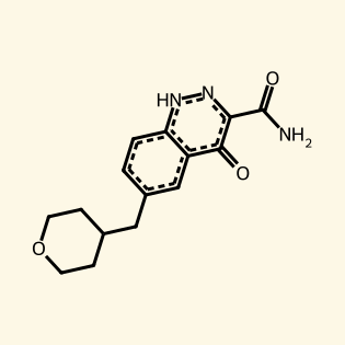 NC(=O)c1n[nH]c2ccc(CC3CCOCC3)cc2c1=O